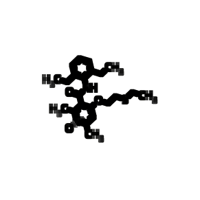 CCSCCOc1cc(C)[n+]([O-])c(C)c1C(=O)Nc1c(CC)cccc1CC